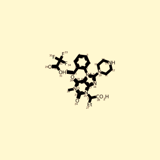 C=Cc1ccccc1-n1c(N2CCNCC2)nc2c1c(=O)n(C)c(=O)n2C(CC)C(=O)O.O=C(O)C(F)(F)F